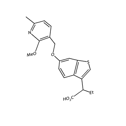 CCC(C(=O)O)c1csc2cc(OCc3ccc(C)nc3OC)ccc12